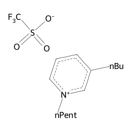 CCCCC[n+]1cccc(CCCC)c1.O=S(=O)([O-])C(F)(F)F